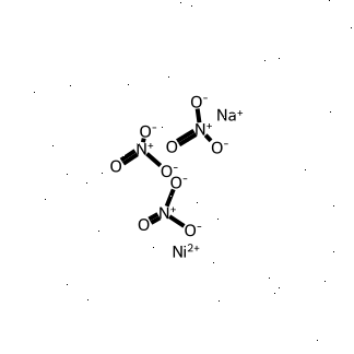 O=[N+]([O-])[O-].O=[N+]([O-])[O-].O=[N+]([O-])[O-].[Na+].[Ni+2]